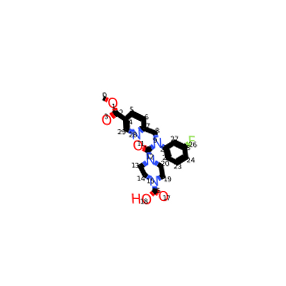 COC(=O)c1ccc(CN(C(=O)N2CCN(C(=O)O)CC2)c2cccc(F)c2)nc1